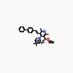 Cc1nc(C)c(C(OC(C)(C)C)C(=O)O)c(N2CCC(C)(C)CC2)c1C=Cc1ccc(-c2ccccc2)cc1